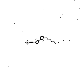 CCCCCCc1ccc(-c2ccc(C#C[Si](C)(C)C)s2)s1